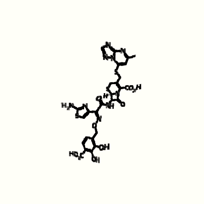 Cc1cc(SCC2=C(C(=O)O)N3C(=O)[C@@H](NC(=O)C(=NOCc4ccc(C(=O)O)c(O)c4O)c4csc(N)n4)[C@H]3SC2)n2ncnc2n1